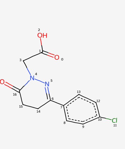 O=C(O)CN1N=C(c2ccc(Cl)cc2)CCC1=O